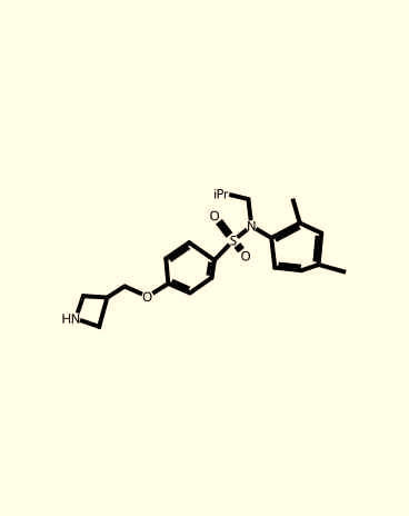 Cc1ccc(N(CC(C)C)S(=O)(=O)c2ccc(OCC3CNC3)cc2)c(C)c1